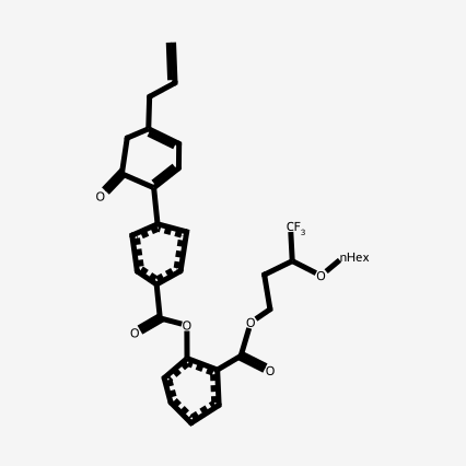 C=CCC1=CC=C(c2ccc(C(=O)Oc3ccccc3C(=O)OCCC(OCCCCCC)C(F)(F)F)cc2)C(=O)C1